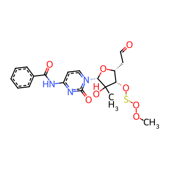 COOSO[C@H]1[C@@H](CC=O)O[C@@H](n2ccc(NC(=O)c3ccccc3)nc2=O)C1(C)O